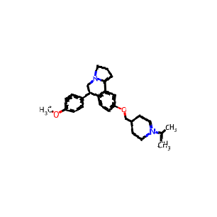 COc1ccc(C2CN3CCCC3c3cc(OCC4CCN(C(C)C)CC4)ccc32)cc1